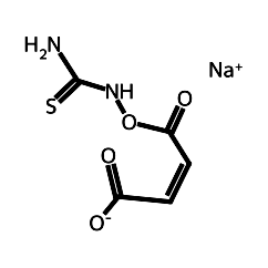 NC(=S)NOC(=O)/C=C\C(=O)[O-].[Na+]